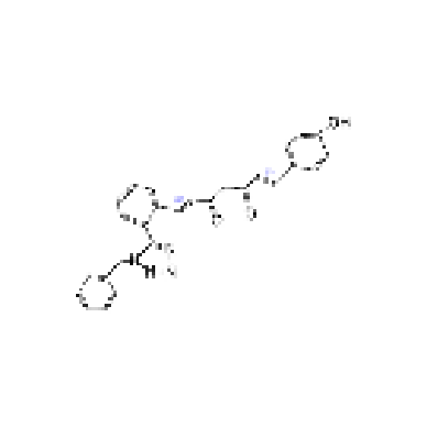 O=C(/C=C/c1ccc(O)cc1)CC(=O)/C=C/c1ccccc1-c1nnnn1Cc1ccccc1